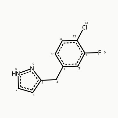 Fc1cc(Cc2cc[nH]n2)ccc1Cl